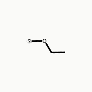 CCO[Si]